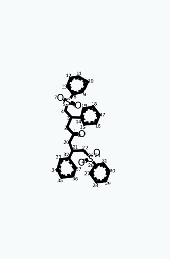 O=C(CC(CS(=O)(=O)c1ccccc1)c1ccccc1)CC(CS(=O)(=O)c1ccccc1)c1ccccc1